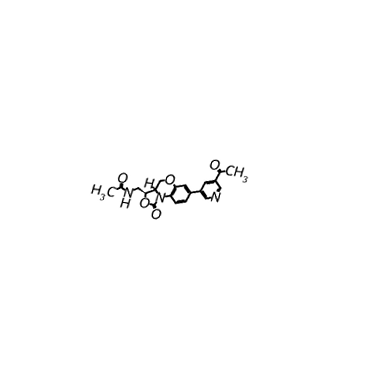 CC(=O)NC[C@@H]1OC(=O)N2c3ccc(-c4cncc(C(C)=O)c4)cc3OC[C@@H]12